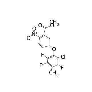 COC(=O)c1cc(Oc2c(F)c(F)c(C)c(F)c2Cl)ccc1[N+](=O)[O-]